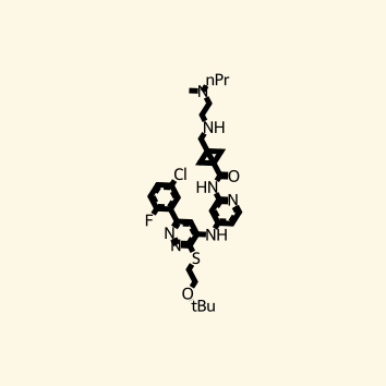 CCCN(C)CCNCC12CC1(C(=O)Nc1cc(Nc3cc(-c4cc(Cl)ccc4F)nnc3SCCOC(C)(C)C)ccn1)C2